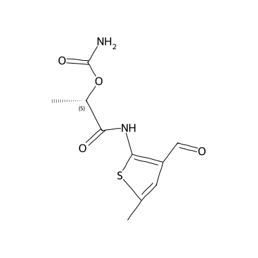 Cc1cc(C=O)c(NC(=O)[C@H](C)OC(N)=O)s1